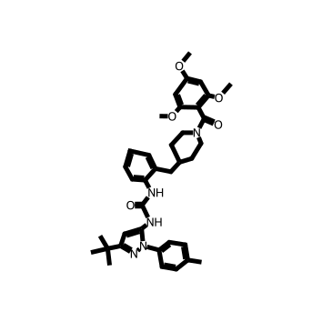 COc1cc(OC)c(C(=O)N2CCC(Cc3ccccc3NC(=O)Nc3cc(C(C)(C)C)nn3-c3ccc(C)cc3)CC2)c(OC)c1